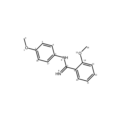 COc1ccc(NC(=N)c2ccccc2OC)cc1